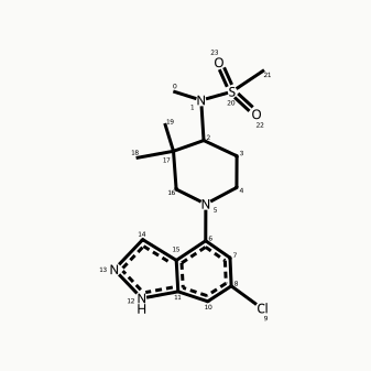 CN(C1CCN(c2cc(Cl)cc3[nH]ncc23)CC1(C)C)S(C)(=O)=O